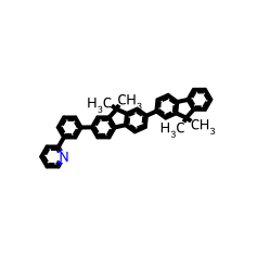 CC1(C)c2ccccc2-c2ccc(-c3ccc4c(c3)C(C)(C)c3cc(-c5cccc(-c6ccccn6)c5)ccc3-4)cc21